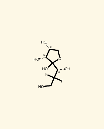 OCC(F)(F)[C@@H](O)C1(O)OC[C@@H](O)[C@H]1O